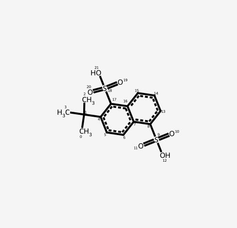 CC(C)(C)c1ccc2c(S(=O)(=O)O)cccc2c1S(=O)(=O)O